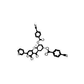 C[C@@]12Oc3cc(-c4cccnc4)oc(=O)c3C(=O)C1C[C@@H](OC(=O)c1ccc(C#N)cc1)C[C@H]2OC(=O)c1ccc(C#N)cc1